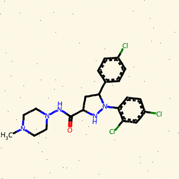 CN1CCN(NC(=O)C2CC(c3ccc(Cl)cc3)N(c3ccc(Cl)cc3Cl)N2)CC1